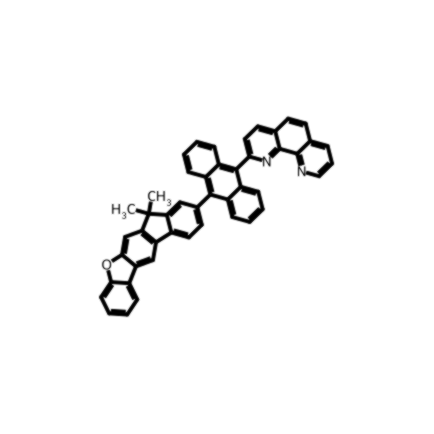 CC1(C)c2cc(-c3c4ccccc4c(-c4ccc5ccc6cccnc6c5n4)c4ccccc34)ccc2-c2cc3c(cc21)oc1ccccc13